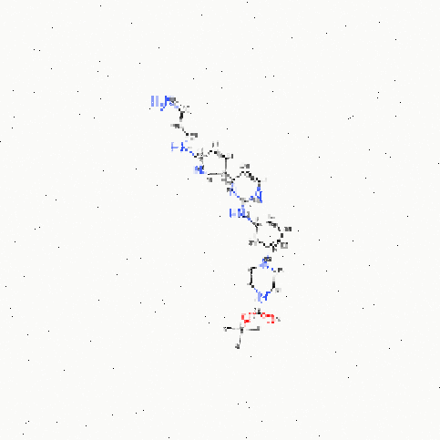 CC(C)(C)OC(=O)N1CCN(c2cccc(Nc3nccc(-c4ccc(NCCCN)nc4)n3)c2)CC1